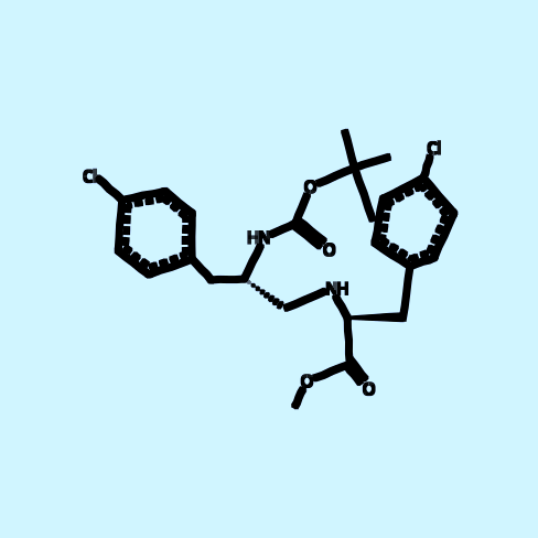 COC(=O)[C@H](Cc1ccc(Cl)cc1)NC[C@H](Cc1ccc(Cl)cc1)NC(=O)OC(C)(C)C